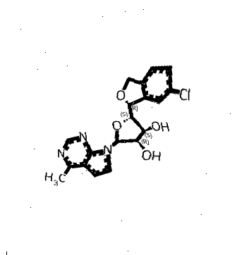 Cc1ncnc2c1ccn2C1O[C@H]([C@@H]2OCc3ccc(Cl)cc32)[C@@H](O)[C@H]1O